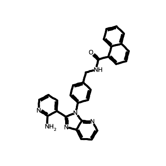 Nc1ncccc1-c1nc2cccnc2n1-c1ccc(CNC(=O)c2cccc3ccccc23)cc1